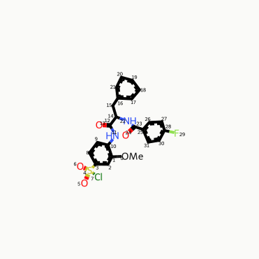 COc1cc(S(=O)(=O)Cl)ccc1NC(=O)C(Cc1ccccc1)NC(=O)c1ccc(F)cc1